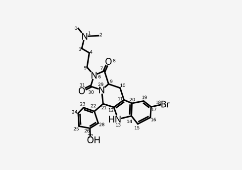 CN(C)CCCN1C(=O)C2Cc3c([nH]c4ccc(Br)cc34)C(c3cccc(O)c3)N2C1=O